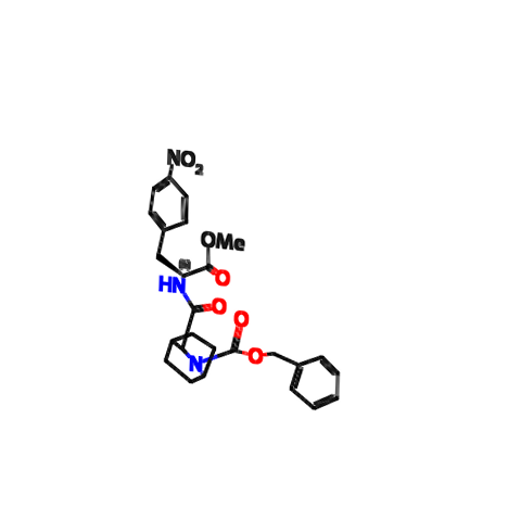 COC(=O)[C@H](Cc1ccc([N+](=O)[O-])cc1)NC(=O)C1C2CCC(CC2)N1C(=O)OCc1ccccc1